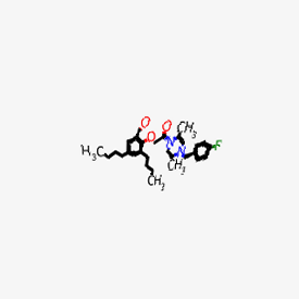 CCCCc1cc(C=O)c(OCC(=O)N2CC(C)N(Cc3ccc(F)cc3)CC2C)c(CCCC)c1